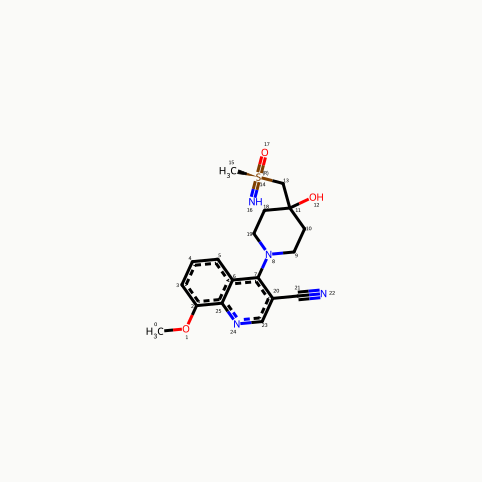 COc1cccc2c(N3CCC(O)(C[S@](C)(=N)=O)CC3)c(C#N)cnc12